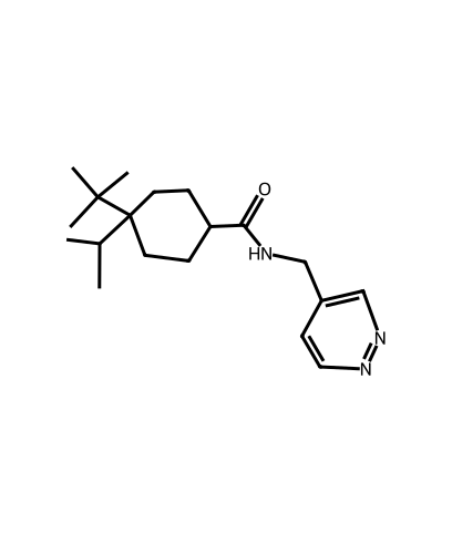 CC(C)C1(C(C)(C)C)CCC(C(=O)NCc2ccnnc2)CC1